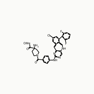 COC(=O)C1(N)CCN(C(=O)c2ccc(Nc3ncc4c(n3)C=c3cc(Cl)cc(-c5c(F)cccc5F)c3=CN4)cc2)CC1